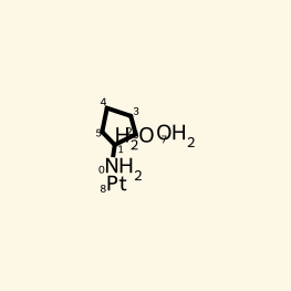 NC1CCCC1.O.O.[Pt]